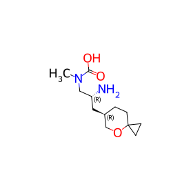 CN(C[C@H](N)C[C@H]1CCC2(CC2)OC1)C(=O)O